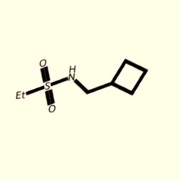 CCS(=O)(=O)NCC1CCC1